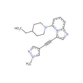 Cn1cc(C#Cc2cnc3cccc(N4CCC(CC(=O)O)CC4)n23)cn1